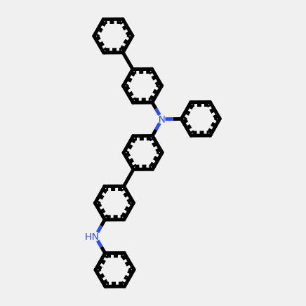 c1ccc(Nc2ccc(-c3ccc(N(c4ccccc4)c4ccc(-c5ccccc5)cc4)cc3)cc2)cc1